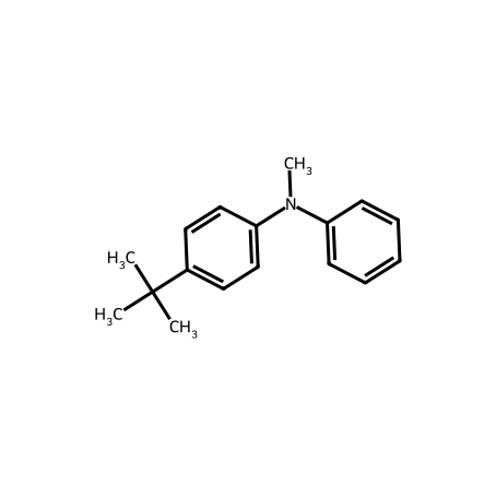 CN(c1ccccc1)c1ccc(C(C)(C)C)cc1